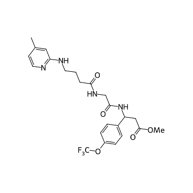 COC(=O)CC(NC(=O)CNC(=O)CCCNc1cc(C)ccn1)c1ccc(OC(F)(F)F)cc1